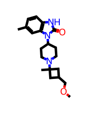 COCC1CC(C)(N2CCC(n3c(=O)[nH]c4ccc(C)cc43)CC2)C1